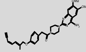 C#C/C=C\C=C(/C)COc1ccc(CC(=O)N2CCN(c3nc(N)c4cc(OC)c(OC)cc4n3)CC2)cc1